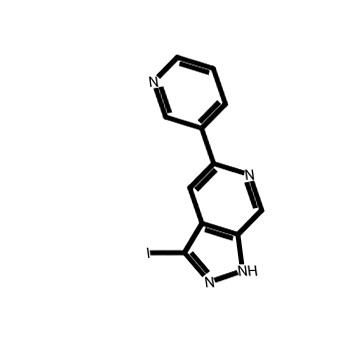 Ic1n[nH]c2cnc(-c3cccnc3)cc12